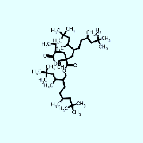 CCC(CC(CC)(CC(CCC(C)CC(C)(C)C)C(C)CC(C)(C)C)C(=O)OCC(CCC(C)CC(C)(C)C)C(C)CC(C)(C)C)C(=O)O